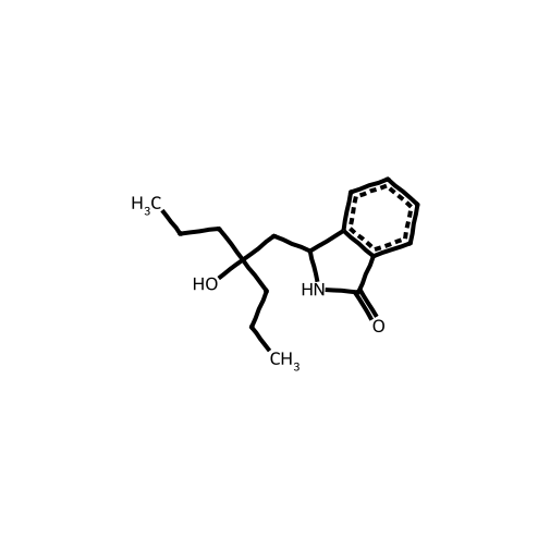 CCCC(O)(CCC)CC1NC(=O)c2ccccc21